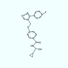 O=C(NC(O)C1CC1)c1ccc(OCc2conc2-c2ccc(F)cc2)nc1